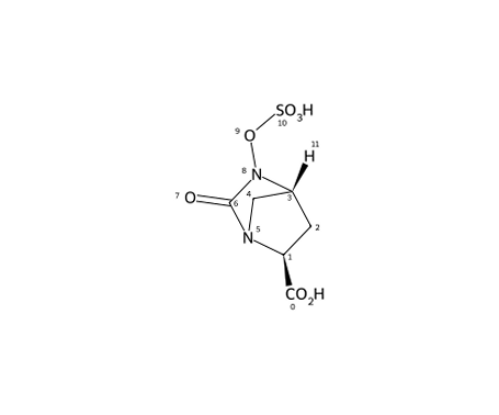 O=C(O)[C@@H]1C[C@@H]2CN1C(=O)N2OS(=O)(=O)O